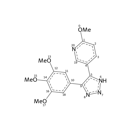 COc1ccc(-c2[nH]nnc2-c2cc(OC)c(OC)c(OC)c2)cn1